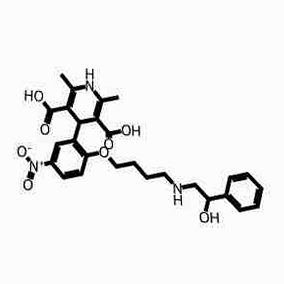 CC1=C(C(=O)O)C(c2cc([N+](=O)[O-])ccc2OCCCCNCC(O)c2ccccc2)C(C(=O)O)=C(C)N1